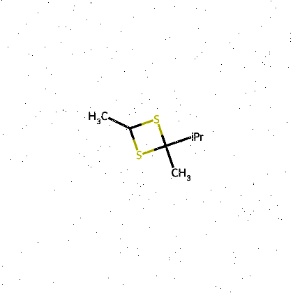 CC1SC(C)(C(C)C)S1